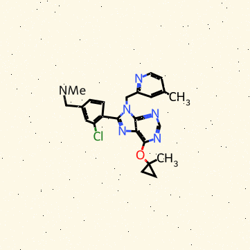 CNCc1ccc(-c2nc3c(OC4(C)CC4)ncnc3n2Cc2cc(C)ccn2)c(Cl)c1